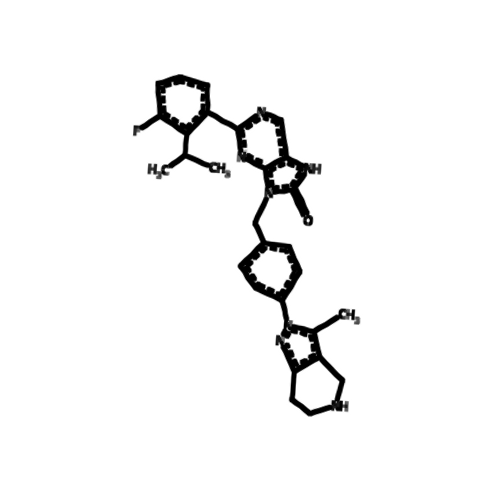 Cc1c2c(nn1-c1ccc(Cn3c(=O)[nH]c4cnc(-c5cccc(F)c5C(C)C)nc43)cc1)CCNC2